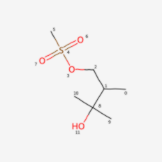 CC(COS(C)(=O)=O)C(C)(C)O